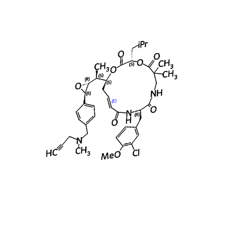 C#CCN(C)Cc1ccc([C@H]2O[C@@H]2[C@@H](C)[C@@H]2C/C=C/C(=O)N[C@H](Cc3ccc(OC)c(Cl)c3)C(=O)NCC(C)(C)C(=O)O[C@@H](CC(C)C)C(=O)O2)cc1